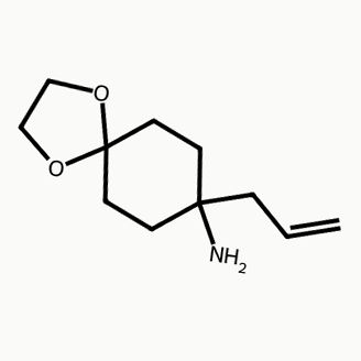 C=CCC1(N)CCC2(CC1)OCCO2